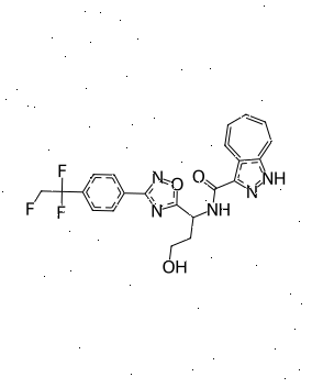 O=C(NC(CCO)c1nc(-c2ccc(C(F)(F)CF)cc2)no1)c1n[nH]c2c1=C=CC=CC=2